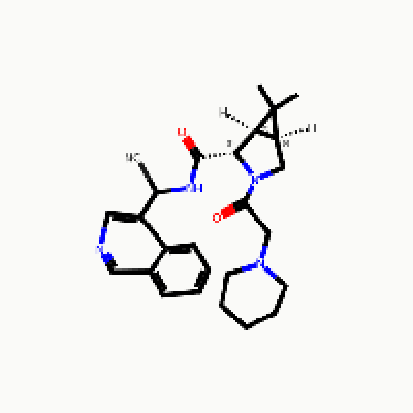 CC1(C)[C@@H]2[C@@H](C(=O)NC(C#N)c3cncc4ccccc34)N(C(=O)CN3CCCCC3)C[C@@H]21